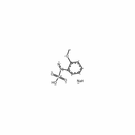 COc1ccccc1[N+](=[N-])S(=O)(=O)O.[NaH]